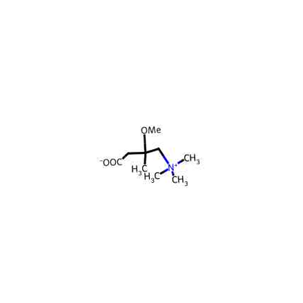 COC(C)(CC(=O)[O-])C[N+](C)(C)C